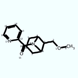 COCC1C2CCCC1N2C(=O)c1ccccn1